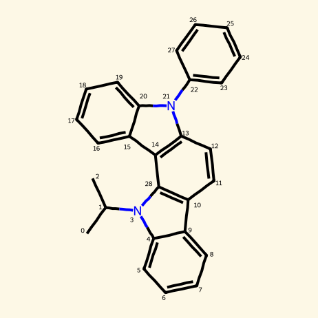 CC(C)n1c2ccccc2c2ccc3c(c4ccccc4n3-c3ccccc3)c21